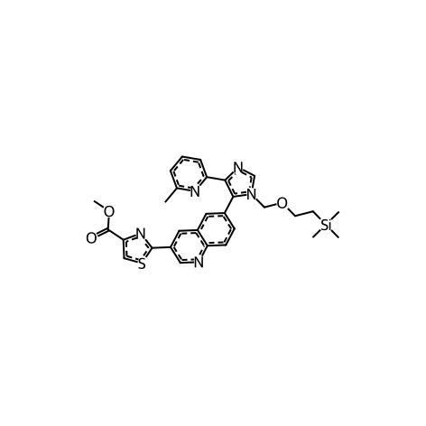 COC(=O)c1csc(-c2cnc3ccc(-c4c(-c5cccc(C)n5)ncn4COCC[Si](C)(C)C)cc3c2)n1